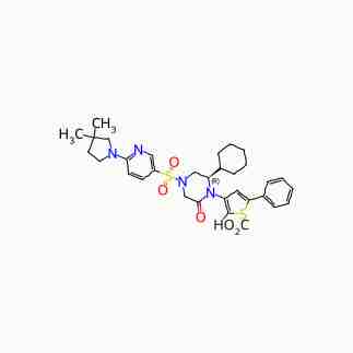 CC1(C)CCN(c2ccc(S(=O)(=O)N3CC(=O)N(c4cc(-c5ccccc5)sc4C(=O)O)[C@H](C4CCCCC4)C3)cn2)C1